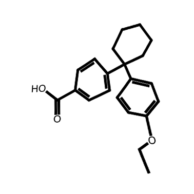 CCOc1ccc(C2(c3ccc(C(=O)O)cc3)CCCCC2)cc1